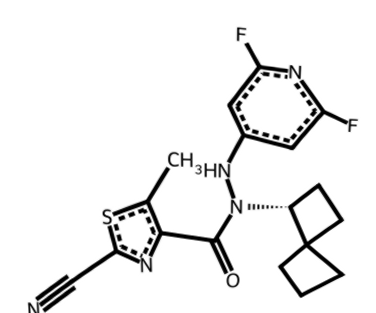 Cc1sc(C#N)nc1C(=O)N(Nc1cc(F)nc(F)c1)[C@@H]1CCC12CCC2